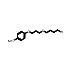 COc1ccc(OCCCOCCCCBr)cc1